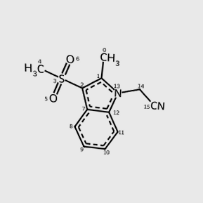 Cc1c(S(C)(=O)=O)c2ccccc2n1CC#N